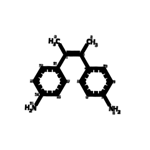 CC(=C(C)c1ccc(N)cc1)c1ccc(N)cc1